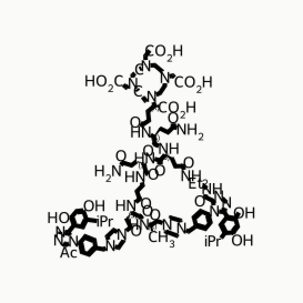 CCNC(=O)c1nnc(-c2cc(C(C)C)c(O)cc2O)n1-c1ccc(CN2CCN(C(=O)[C@@H](C)NC(=O)[C@H](CC(=O)N3CCN(Cc4ccc(-n5c(C(C)=O)nnc5-c5cc(C(C)C)c(O)cc5O)cc4)CC3)NC(=O)CCNC(=O)[C@H](CCC(N)=O)NC(=O)[C@H](CCC(N)=O)NC(=O)[C@H](CCC(N)=O)NC(=O)CC[C@H](C(=O)O)N3CCN(CC(=O)O)CCN(CC(=O)O)CCN(CC(=O)O)CC3)CC2)cc1